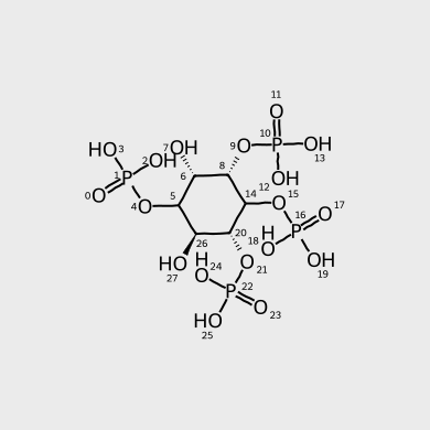 O=P(O)(O)OC1[C@H](O)[C@H](OP(=O)(O)O)C(OP(=O)(O)O)[C@H](OP(=O)(O)O)[C@H]1O